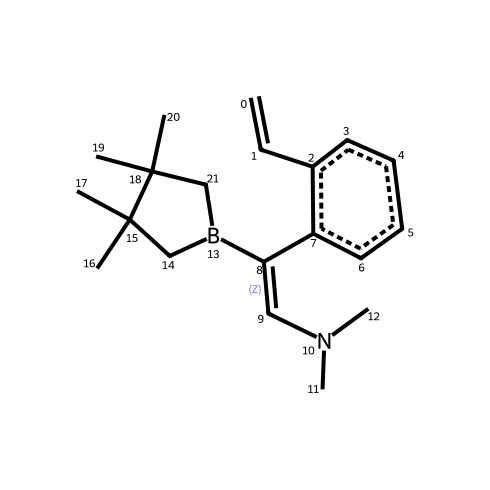 C=Cc1ccccc1/C(=C\N(C)C)B1CC(C)(C)C(C)(C)C1